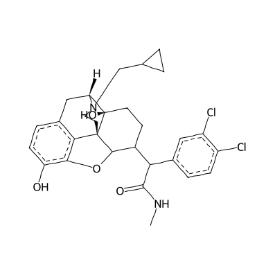 CNC(=O)C(c1ccc(Cl)c(Cl)c1)C1CC[C@@]2(O)[C@H]3Cc4ccc(O)c5c4[C@@]2(CCN3CC2CC2)C1O5